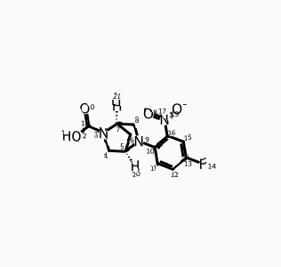 O=C(O)N1C[C@H]2C[C@@H]1CN2c1ccc(F)cc1[N+](=O)[O-]